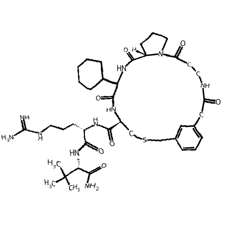 CC(C)(C)[C@H](NC(=O)[C@H](CCCNC(=N)N)NC(=O)[C@@H]1CSCc2cccc(c2)CC(=O)NCCC(=O)N2CCC[C@H]2C(=O)NC(C2CCCCC2)C(=O)N1)C(N)=O